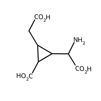 NC(C(=O)O)C1C(CC(=O)O)C1C(=O)O